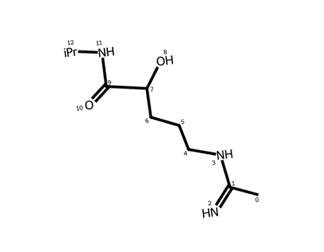 CC(=N)NCCCC(O)C(=O)NC(C)C